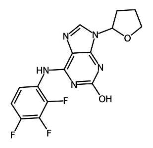 Oc1nc(Nc2ccc(F)c(F)c2F)c2ncn(C3CCCO3)c2n1